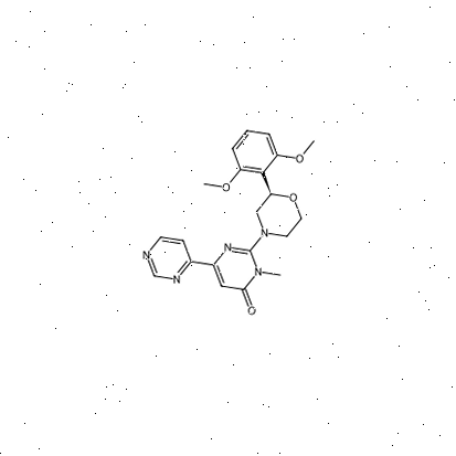 COc1cccc(OC)c1[C@@H]1CN(c2nc(-c3ccncn3)cc(=O)n2C)CCO1